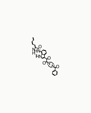 C=C/C=C\C=C(/N)C(=O)Nc1cccc2c(C(=O)C(=O)N3CCN(C(=O)c4ccccc4)CC3)c[nH]c12